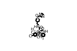 Cc1cc(S(=O)(=O)N2c3ccccc3NC(=O)[C@H]2CC(=O)NCCC2CCN(C(=O)c3cnccn3)CC2)c(C)cc1Cl